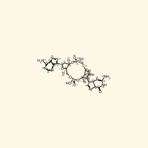 CO[C@H]1[C@H]2OP(=O)(O)OC[C@H]3O[C@@H](c4snc5c(N)ncnc45)C[C@@H]3O[P@@](=O)(S)OC[C@H]1O[C@H]2N1C=NC2C(=O)NC(N)=NC21